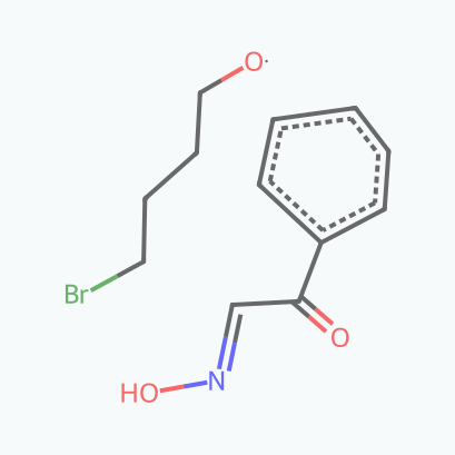 O=C(C=NO)c1ccccc1.[O]CCCCBr